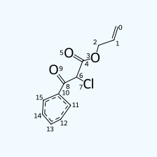 C=CCOC(=O)C(Cl)C(=O)c1ccccc1